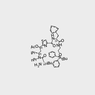 CCCN(C(=O)[C@@H](N)[C@@H](C)CC)[C@H](C[C@@H](OC(C)=O)c1nc(C(=O)N[C@@H](Cc2ccccc2)C(=O)NCCO[Si](c2ccccc2)(c2ccccc2)C(C)(C)C)cs1)C(C)C